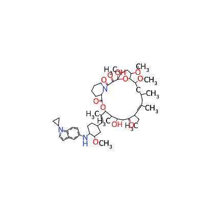 CCC1/C=C(\C)CC(C)CC(OC)C2OC(O)(C(=O)C(=O)N3CCCCC3C(=O)OC(C(C)=CC3CCC(Nc4ccc5c(ccn5C5CC5)c4)C(OC)C3)C(C)C(O)CC1=O)C(C)CC2OC